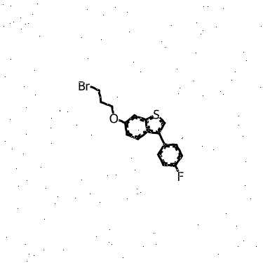 Fc1ccc(-c2csc3cc(OCCCBr)ccc23)cc1